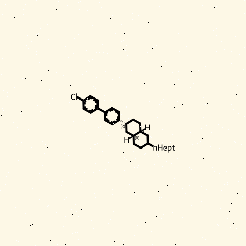 CCCCCCCC1CC[C@@H]2C[C@H](c3ccc(-c4ccc(Cl)cc4)cc3)CC[C@@H]2C1